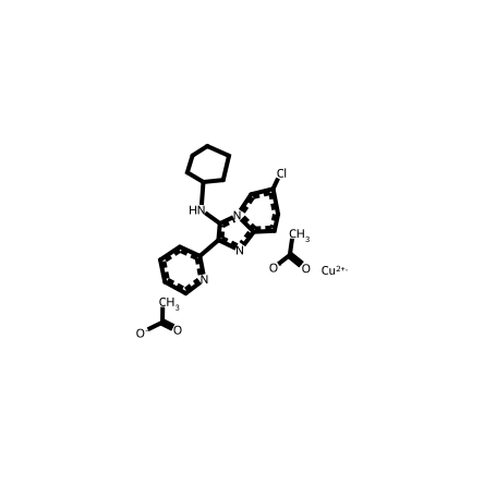 CC(=O)[O-].CC(=O)[O-].Clc1ccc2nc(-c3ccccn3)c(NC3CCCCC3)n2c1.[Cu+2]